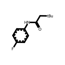 CC(C)(C)CC(=O)Nc1ccc(F)cc1